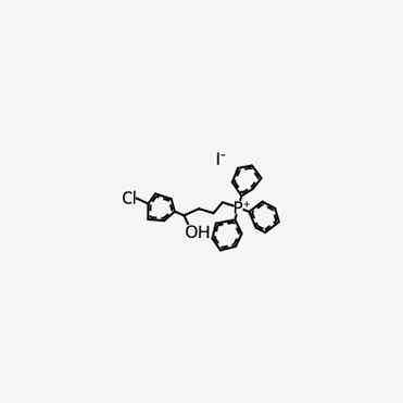 OC(CCC[P+](c1ccccc1)(c1ccccc1)c1ccccc1)c1ccc(Cl)cc1.[I-]